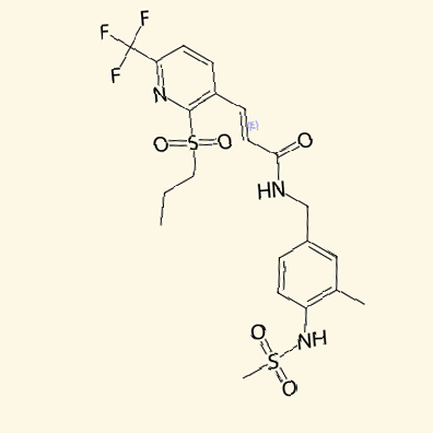 CCCS(=O)(=O)c1nc(C(F)(F)F)ccc1/C=C/C(=O)NCc1ccc(NS(C)(=O)=O)c(C)c1